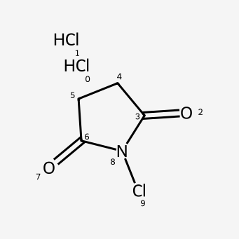 Cl.Cl.O=C1CCC(=O)N1Cl